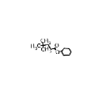 CC(C)(C)CCC(=O)OC1CCCCC1